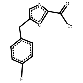 CCC(=O)c1ncc(Cc2ccc(F)cc2)o1